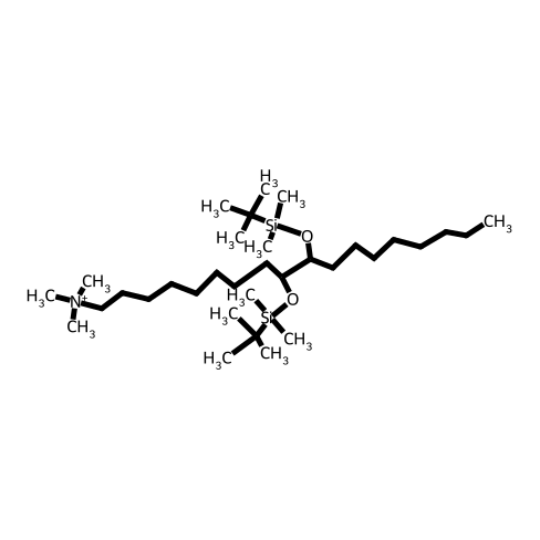 CCCCCCCCC(O[Si](C)(C)C(C)(C)C)C(CCCCCCCC[N+](C)(C)C)O[Si](C)(C)C(C)(C)C